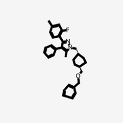 Cc1ccc(-c2nn(C[C@H]3CC[C@H](COCc4ccccc4)CC3)c(C)c2-c2ccccc2)c(F)c1